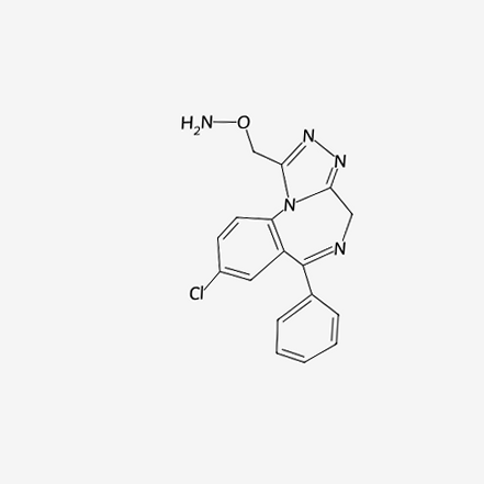 NOCc1nnc2n1-c1ccc(Cl)cc1C(c1ccccc1)=NC2